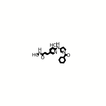 Cl.O=C(C=Cc1ccc(N[C@@H]2CCN(C(=O)C3CCCCC3)C2)nc1)NO